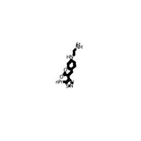 CCCc1snnc1-c1cc2ccc(NCCNCC)cc2oc1=O